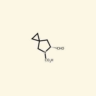 O=C[C@H]1CC2(CC2)CN1C(=O)O